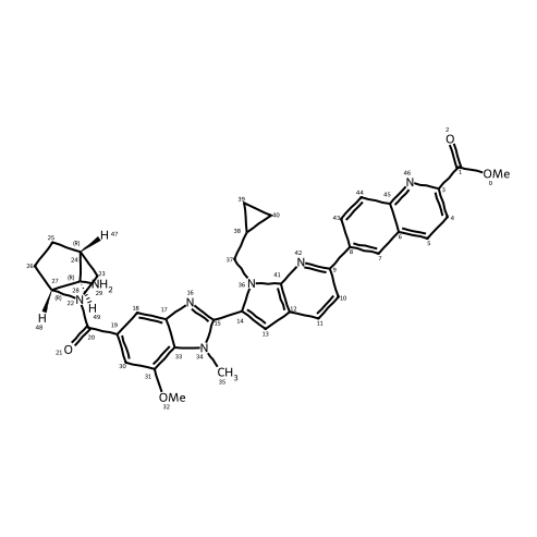 COC(=O)c1ccc2cc(-c3ccc4cc(-c5nc6cc(C(=O)N7C[C@H]8CC[C@@H]7[C@@H]8N)cc(OC)c6n5C)n(CC5CC5)c4n3)ccc2n1